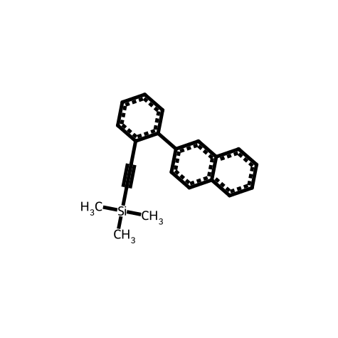 C[Si](C)(C)C#Cc1ccccc1-c1ccc2ccccc2c1